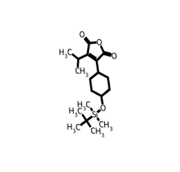 CC(C)C1=C(C2CCC(O[Si](C)(C)C(C)(C)C)CC2)C(=O)OC1=O